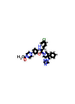 CC(=O)N1CCN([C@H]2CC[C@H](N[C@H](Cc3ccc(Cl)cc3)C(=O)N3CCC(Cn4cncn4)(C4CCCCC4)CC3)CC2)CC1